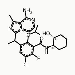 Cc1nc(C(C)c2cc(Cl)c(F)c(C(=O)N[C@@H]3CCCC[C@H]3O)c2OC(C)C)n2ccnc(N)c12